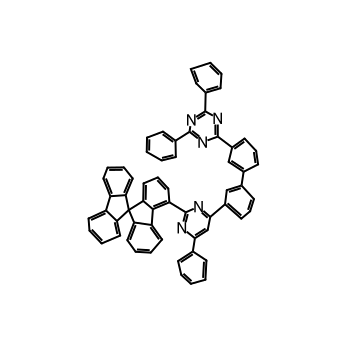 c1ccc(-c2cc(-c3cccc(-c4cccc(-c5nc(-c6ccccc6)nc(-c6ccccc6)n5)c4)c3)nc(-c3cccc4c3-c3ccccc3C43c4ccccc4-c4ccccc43)n2)cc1